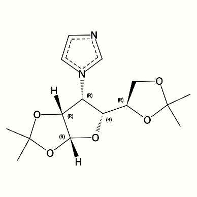 CC1(C)O[C@H]2O[C@@H]([C@H]3COC(C)(C)O3)[C@@H](n3ccnc3)[C@H]2O1